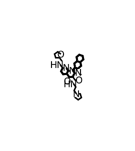 Cn1c2cc3ccccc3cc2n2c3nc(NCC4CCCO4)ccc3c(=O)c(C(=O)NCCN3CCCC3)c12